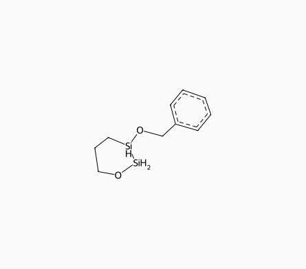 c1ccc(CO[SiH]2CCCO[SiH2]2)cc1